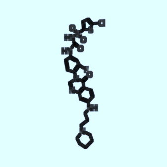 O=C(Nc1ccc(-n2cnc3cc(NCCCN4CCCCC4)ccc3c2=O)c(F)c1)NS(=O)(=O)c1ccc(Cl)s1